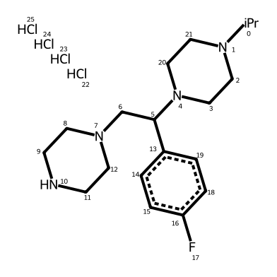 CC(C)N1CCN(C(CN2CCNCC2)c2ccc(F)cc2)CC1.Cl.Cl.Cl.Cl